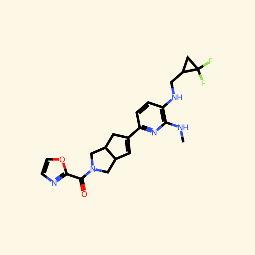 CNc1nc(C2=CC3CN(C(=O)c4ncco4)CC3C2)ccc1NCC1CC1(F)F